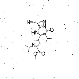 COC(=O)c1cc(-c2[nH]c3c(C#N)cnn3c(=O)c2C(C)C)cn1C(C)C